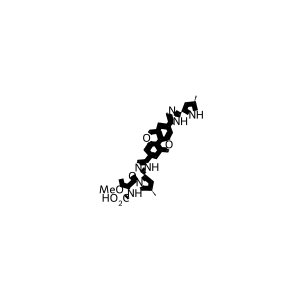 CO[C@H](C)[C@H](NC(=O)O)C(=O)N1C[C@@H](C)C[C@H]1c1ncc(-c2cc3c4c(c2)OCc2cc(-c5cnc([C@@H]6C[C@H](C)CN6)[nH]5)cc(c2-4)OC3)[nH]1